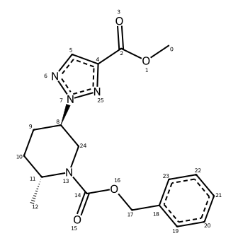 COC(=O)c1cnn([C@@H]2CC[C@@H](C)N(C(=O)OCc3ccccc3)C2)n1